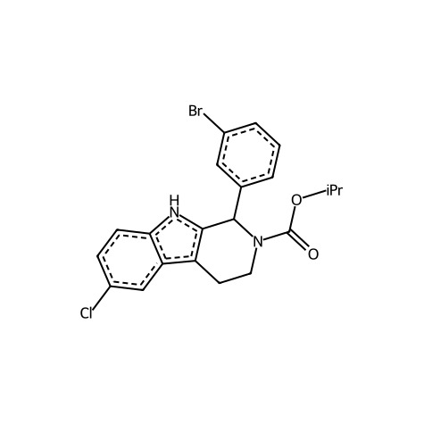 CC(C)OC(=O)N1CCc2c([nH]c3ccc(Cl)cc23)C1c1cccc(Br)c1